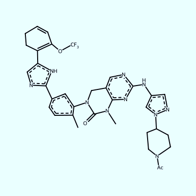 CC(=O)N1CCC(n2cc(Nc3ncc4c(n3)N(C)C(=O)N(c3cc(-c5ncc(C6=C(OC(F)(F)F)C=CCC6)[nH]5)ccc3C)C4)cn2)CC1